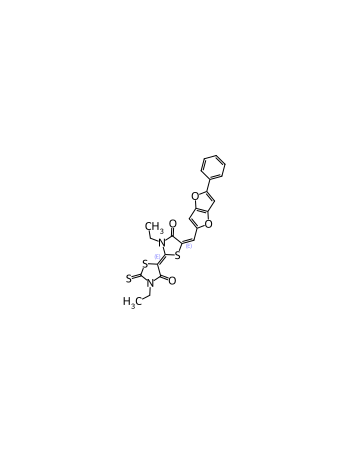 CCN1C(=O)/C(=c2\s/c(=C/c3cc4oc(-c5ccccc5)cc4o3)c(=O)n2CC)SC1=S